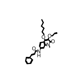 C=CCOc1c(OCCCCCC)c2ccc(NC(=O)/C=C/c3ccccc3)cc2n(C)c1=O